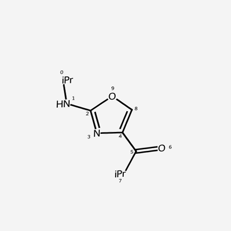 CC(C)Nc1nc(C(=O)C(C)C)co1